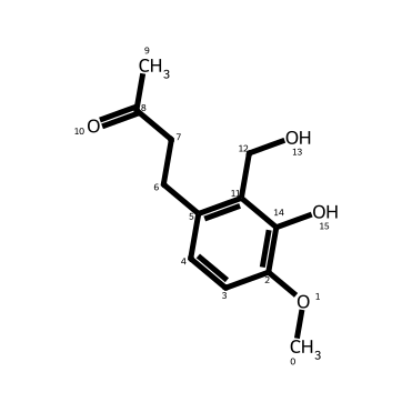 COc1ccc(CCC(C)=O)c(CO)c1O